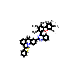 Bc1c(B)c(B)c2c(oc3c(-c4nc(-c5ccc6c(c5)C(C)(C)c5cccc7c8c9ccccc9sc8n-6c57)nc5ccccc45)c(B)c(B)c(B)c32)c1B